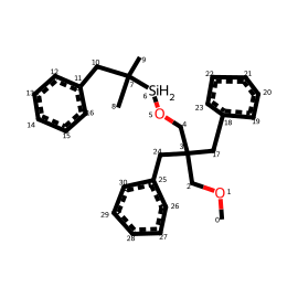 COCC(CO[SiH2]C(C)(C)Cc1ccccc1)(Cc1ccccc1)Cc1ccccc1